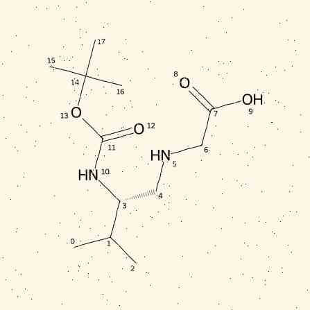 CC(C)[C@@H](CNCC(=O)O)NC(=O)OC(C)(C)C